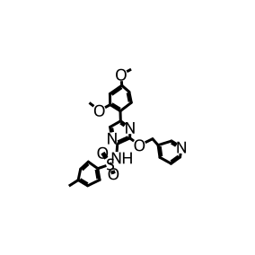 COc1ccc(-c2cnc(NS(=O)(=O)c3ccc(C)cc3)c(OCc3cccnc3)n2)c(OC)c1